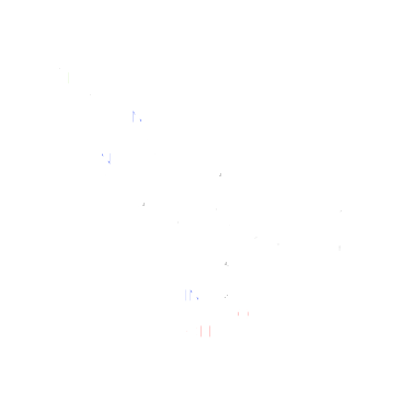 O=C(NO)C1C(c2ccccc2)C1c1ccc(-c2ncc(F)cn2)cc1